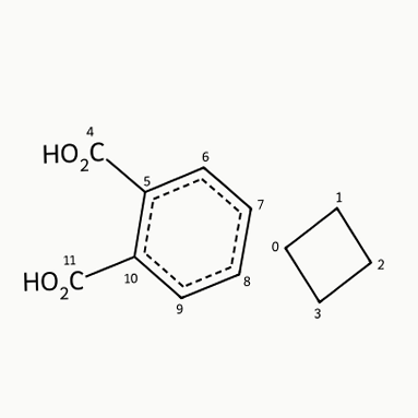 C1CCC1.O=C(O)c1ccccc1C(=O)O